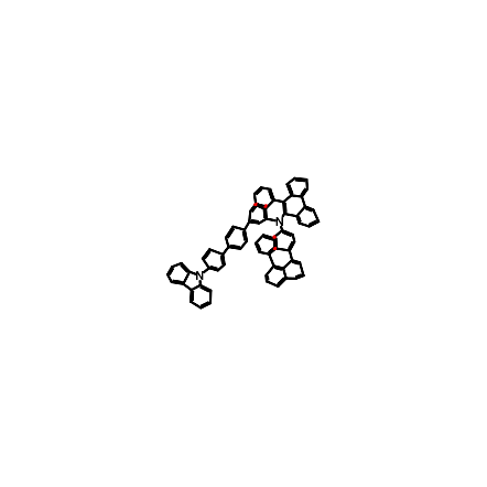 c1ccc(-c2c(N(c3ccc(-c4cccc5cccc(-c6ccccc6)c45)cc3)c3cccc(-c4ccc(-c5ccc(-n6c7ccccc7c7ccccc76)cc5)cc4)c3)c3ccccc3c3ccccc23)cc1